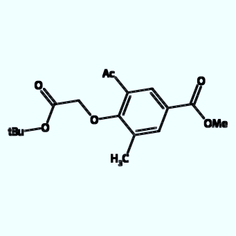 COC(=O)c1cc(C)c(OCC(=O)OC(C)(C)C)c(C(C)=O)c1